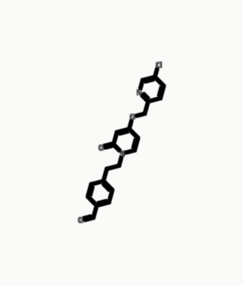 O=Cc1ccc(CCn2ccc(OCc3ccc(Cl)cn3)cc2=O)cc1